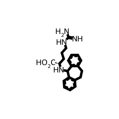 N=C(N)NCCC[C@H](NC1c2ccccc2CCc2ccccc21)C(=O)O